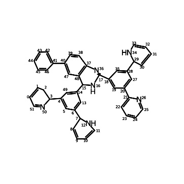 C1=CCC(c2cc(C3C=CC=CN3)cc(C3NC(c4cc(-c5ccccn5)cc(C5C=CC=CN5)c4)=Nc4ccc(-c5ccccc5)cc43)c2)N=C1